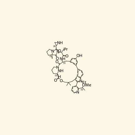 CCn1c(-c2cccnc2[C@H](C)OC)c2c3cc(ccc31)-c1cc(O)cc(c1)C[C@H](NC(=O)C(C(C)C)N(C)C(=O)[C@]1(C)CCCN1C(=O)[C@H]1CN1)C(=O)N1CCC[C@H](N1)C(=O)OCC(C)(C)C2